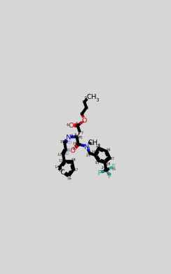 CCCCOC(=O)C[C@@H](/N=C\C=C\c1ccccc1)C(=O)N(C)Cc1cccc(C(F)(F)F)c1